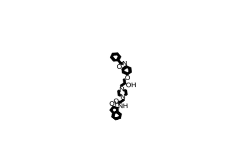 O=C(CN1CCN(C[C@@H](O)COc2ccc3nc(-c4ccccc4)oc3c2)CC1)N[C@@H]1c2ccccc2C[C@@H]1O